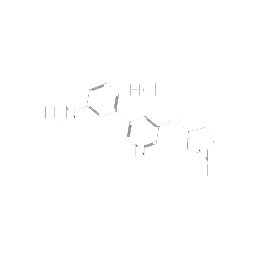 Cl.Nc1cccc(-c2cncc(O[C@H]3CCNC3)c2)c1